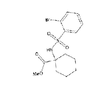 COC(=O)C1(NS(=O)(=O)c2ccccc2Br)CCCCC1